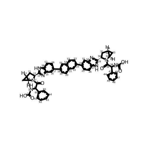 O=C(O)NC(C(=O)N1[C@@H]2C[C@@H]2C[C@H]1c1nc2cc(-c3ccc4cc(-c5ccc6[nH]c([C@@H]7C[C@H]8C[C@H]8N7C(=O)C(NC(=O)O)c7ccccc7)nc6c5)ccc4c3)ccc2[nH]1)c1ccccc1